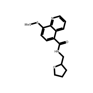 CSSc1ccc(C(=O)NCC2CCCO2)c2cccnc12